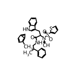 C#CN(C(Cc1c[nH]c2ccccc12)C(=O)NCC(C)c1ccccc1)S(=O)(=O)c1cccs1.Cc1ccc2cc1-2